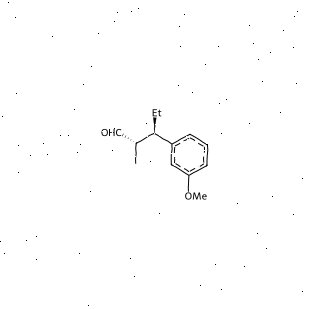 CC[C@@H](c1cccc(OC)c1)[C@H](C)C=O